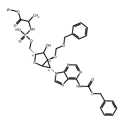 CC(C)OC(=O)C(C)NP(=O)(O)OC[C@H]1OC2[C@@H](n3cnc4c(NC(=O)OCc5ccccc5)ncnc43)[C@@]2(OCOCc2ccccc2)C1O